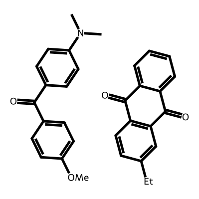 CCc1ccc2c(c1)C(=O)c1ccccc1C2=O.COc1ccc(C(=O)c2ccc(N(C)C)cc2)cc1